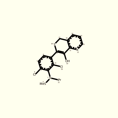 CSN(c1c(Cl)ccc(C2=C(O)c3ncccc3CS2)c1Cl)C(C)C